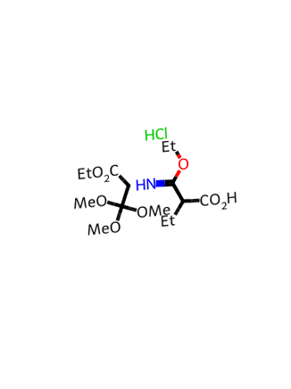 CCOC(=N)C(CC)C(=O)O.CCOC(=O)CC(OC)(OC)OC.Cl